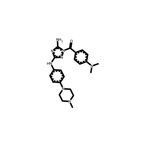 CN1CCN(c2ccc(Nc3nc(N)n(C(=O)c4ccc(N(C)C)cc4)n3)cc2)CC1